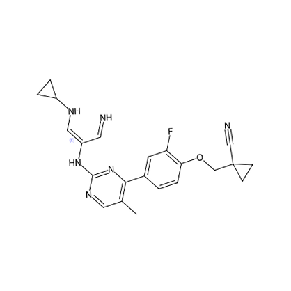 Cc1cnc(N/C(C=N)=C/NC2CC2)nc1-c1ccc(OCC2(C#N)CC2)c(F)c1